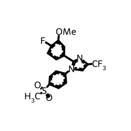 COc1cc(-c2nc(C(F)(F)F)cn2-c2ccc(S(C)(=O)=O)cc2)ccc1F